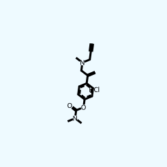 C#CCN(C)CC(=C)c1ccc(OC(=O)N(C)C)cc1.Cl